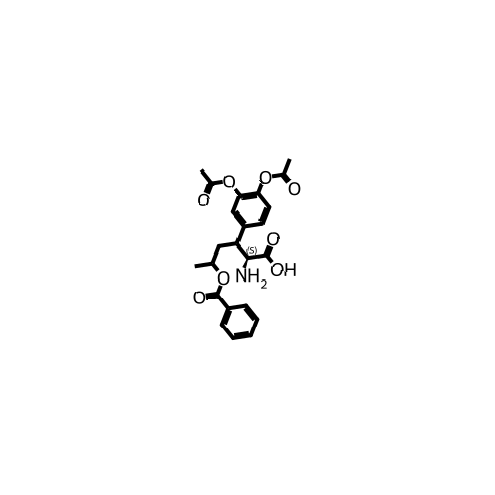 CC(=O)Oc1ccc(C(CC(C)OC(=O)c2ccccc2)[C@H](N)C(=O)O)cc1OC(C)=O